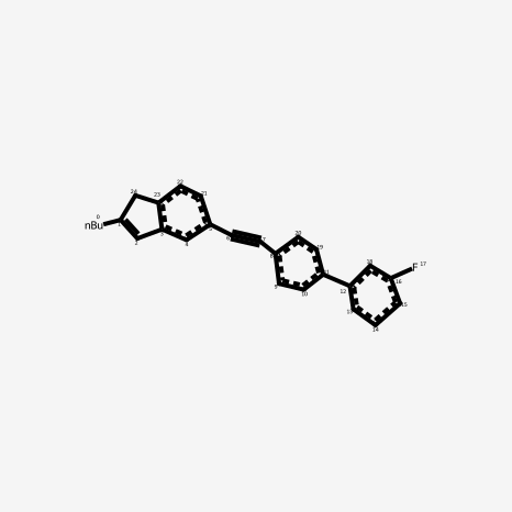 CCCCC1=Cc2cc(C#Cc3ccc(-c4cccc(F)c4)cc3)ccc2C1